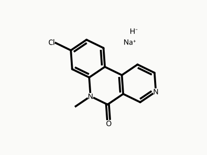 Cn1c(=O)c2cnccc2c2ccc(Cl)cc21.[H-].[Na+]